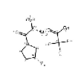 CC[C@H](C)[C@H](N)C(=O)N1CC[C@@H](F)C1.O=C(O)C(F)(F)F